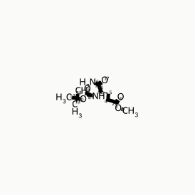 COC(=O)CC[C@H](NC(=O)OC(C)(C)C)C(N)=O